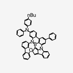 CCCCc1ccc(N(c2ccccc2)c2ccc3c(c2)N(c2cccc4c2oc2ccccc24)B2C4=c5c(c6ccccc6n5-c5cc(-c6ccccc6)cc-3c52)=CC4)cc1